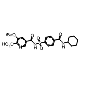 CC(C)COc1cc(C(=O)NS(=O)(=O)c2ccc(C(=O)NC3CCCCC3)cc2)cnc1C(=O)O